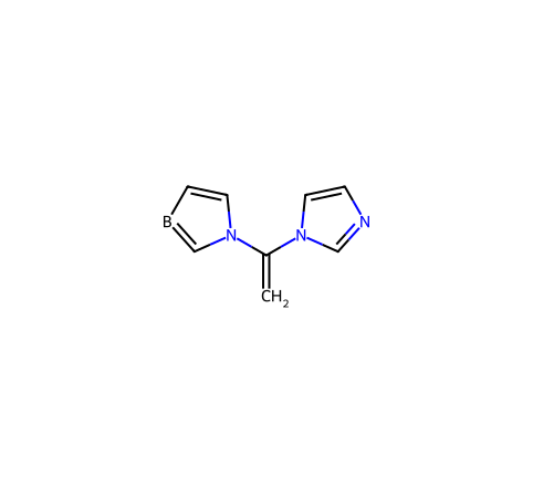 C=C(n1cbcc1)n1ccnc1